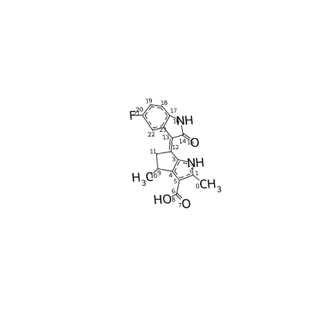 Cc1[nH]c2c(c1C(=O)O)C(C)C/C2=C1/C(=O)Nc2ccc(F)cc21